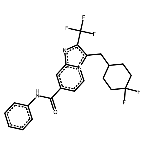 O=C(Nc1ccccc1)c1ccn2c(CC3CCC(F)(F)CC3)c(C(F)(F)F)nc2c1